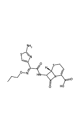 CCCON=C(C(=O)NC1C(=O)N2C(C(=O)O)=CCS[C@@H]12)c1csc(N)n1